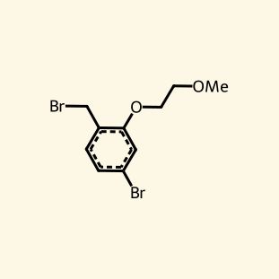 COCCOc1cc(Br)ccc1CBr